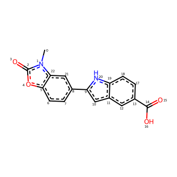 Cn1c(=O)oc2ccc(-c3cc4cc(C(=O)O)ccc4[nH]3)cc21